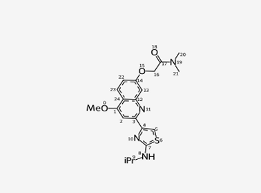 COc1cc(-c2csc(NC(C)C)n2)nc2cc(OCC(=O)N(C)C)ccc12